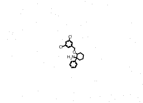 NC1(c2ccccc2)CCCCC1OCc1cc(Cl)cc(Cl)c1